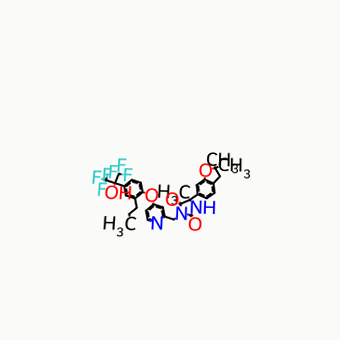 CCCc1cc(C(O)(C(F)(F)F)C(F)(F)F)ccc1Oc1ccnc(CN2C(=O)NC(C)(c3ccc4c(c3)OC(C)(C)C4)C2=O)c1